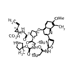 C=C[C@@H]1C[C@]1(NC(=O)[C@@H]1C[C@@H](Oc2cc(-c3csc(NC(=O)CC(C)(C)C)n3)nc3c(C)c(OC)ccc23)CN1C(=O)[C@@H](NC(=O)OC1(C)CCNC1)C(C)(C)C)C(=O)O